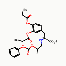 CCC(C)CC(=O)Oc1ccc(C[C@H](NCC(C)OC(=O)Oc2ccccc2)C(=O)O)cc1OC(=O)CC(C)CC